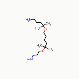 CC(C)(CCCN)OCCCCC(C)(C)OCCCNI